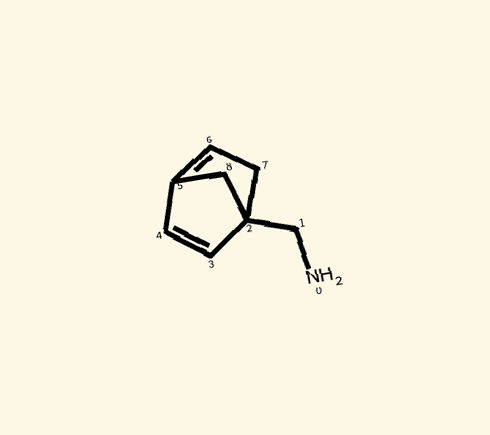 NCC12C=CC(=CC1)C2